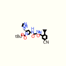 CC(C)(C)OC(=O)N1C[C@H](NC(=O)c2nnc(-c3cc(C#N)ccc3C3CC3)o2)C[C@H]1Cn1ccnn1